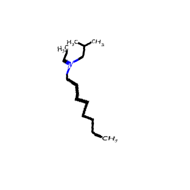 CCCCCCCCN(CC)CC(C)C